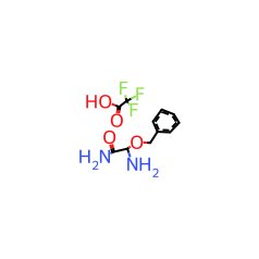 NC(=O)C(N)OCc1ccccc1.O=C(O)C(F)(F)F